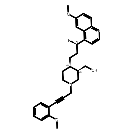 COc1ccc2nccc([C@H](F)CC[C@@H]3CCN(CC#Cc4ccccc4OC)C[C@@H]3CO)c2c1